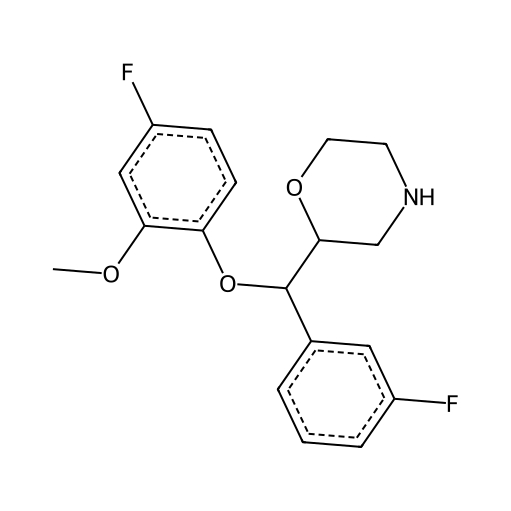 COc1cc(F)ccc1OC(c1cccc(F)c1)C1CNCCO1